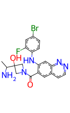 CC(N)C1(O)CN(C(=O)c2cc3ccnnc3cc2Nc2ccc(Br)cc2F)C1